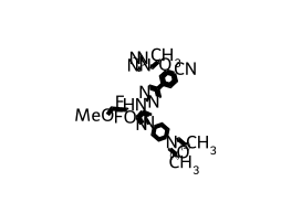 COCC(F)(F)COc1nn(C2CCC(N3C[C@@H](C)O[C@@H](C)C3)CC2)cc1Nc1ncc(-c2ccc(C#N)c(OC(C)Cn3cnnn3)c2)cn1